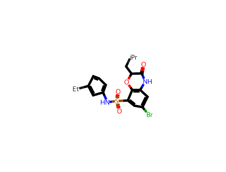 CCc1cccc(NS(=O)(=O)c2cc(Br)cc3c2OC(CC(C)C)C(=O)N3)c1